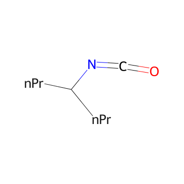 CCCC(CCC)N=C=O